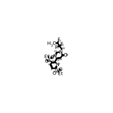 CCS(=O)(=O)c1ccc(S(=O)(=O)CC)c(-c2cc(=O)n(CC(F)(F)C(C)F)cn2)n1